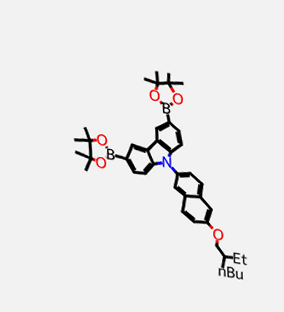 CCCCC(CC)COc1ccc2cc(-n3c4ccc(B5OC(C)(C)C(C)(C)O5)cc4c4cc(B5OC(C)(C)C(C)(C)O5)ccc43)ccc2c1